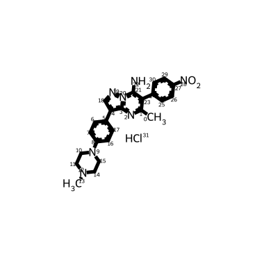 Cc1nc2c(-c3ccc(N4CCN(C)CC4)cc3)cnn2c(N)c1-c1ccc([N+](=O)[O-])cc1.Cl